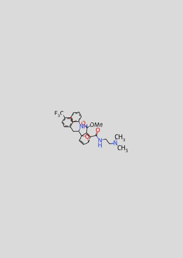 COC(=O)C1=C(C(=O)NCCN(C)C)C2C=CC1(C(Cc1ccc(C(F)(F)F)cc1)Nc1ccccc1)O2